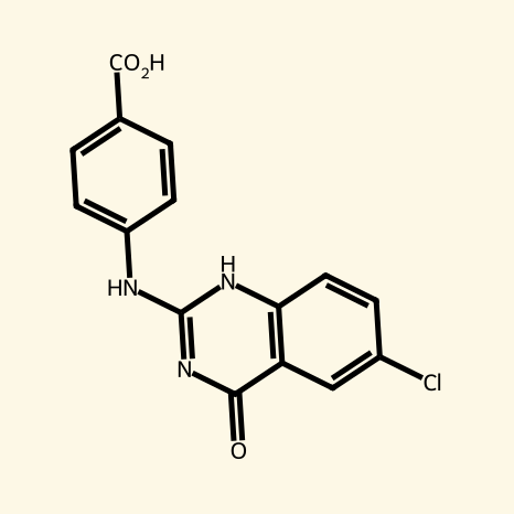 O=C(O)c1ccc(Nc2nc(=O)c3cc(Cl)ccc3[nH]2)cc1